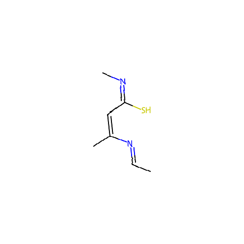 C/C=N/C(C)=C\C(S)=N/C